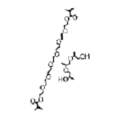 C=C(C)C(=O)OCCOCCOCCOCCOCCOCCOCCOC(=O)C(=C)C.CC(O)COC(C)COC(C)CO